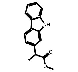 COC(=O)C(C)c1ccc2c(c1)[nH]c1ccccc12